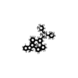 CC1(C)c2ccccc2-c2ccc3c(c21)c1ccccc1n3-c1c(-c2ccccc2)cc(-c2nc(-c3cccnc3)nc(-c3cccnc3)n2)cc1-c1ccccc1